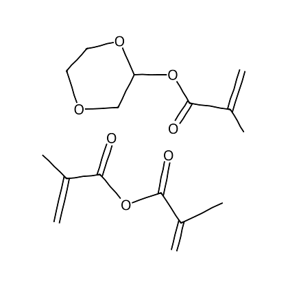 C=C(C)C(=O)OC(=O)C(=C)C.C=C(C)C(=O)OC1COCCO1